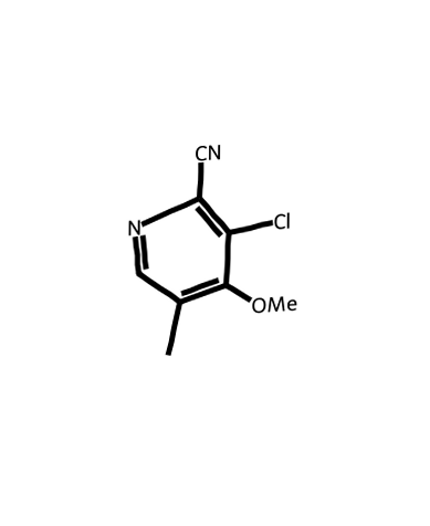 COc1c(C)cnc(C#N)c1Cl